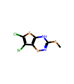 CSC1=NSc2c(sc(Cl)c2Br)N1